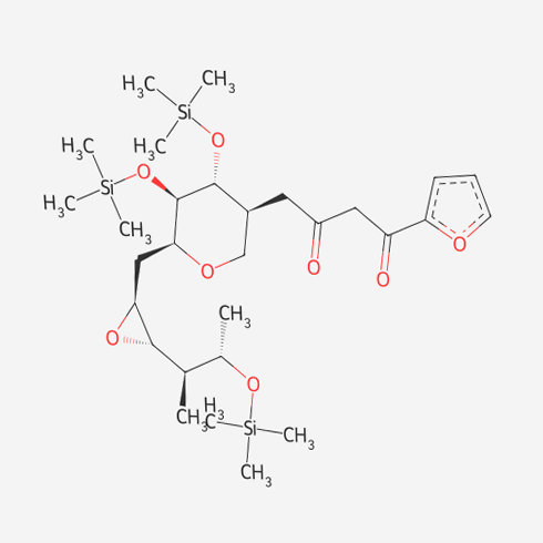 C[C@@H]([C@@H]1O[C@H]1C[C@@H]1OC[C@H](CC(=O)CC(=O)c2ccco2)[C@@H](O[Si](C)(C)C)[C@@H]1O[Si](C)(C)C)[C@H](C)O[Si](C)(C)C